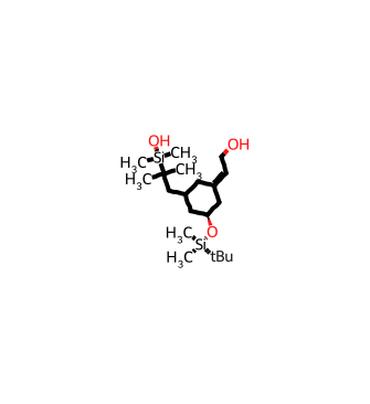 CC(C)(CC1C/C(=C\CO)C[C@@H](O[Si](C)(C)C(C)(C)C)C1)[Si](C)(C)O